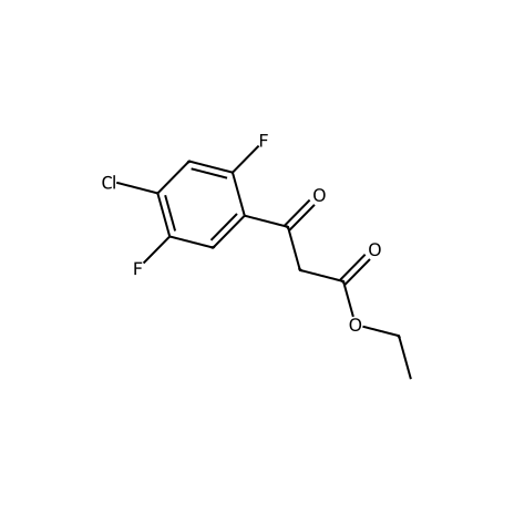 CCOC(=O)CC(=O)c1cc(F)c(Cl)cc1F